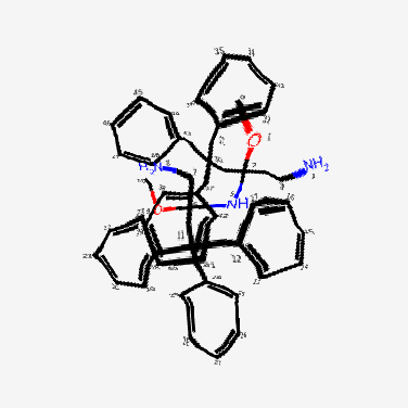 COC(CN)(NC(CN)(OC)C(c1ccccc1)(c1ccccc1)c1ccccc1)C(c1ccccc1)(c1ccccc1)c1ccccc1